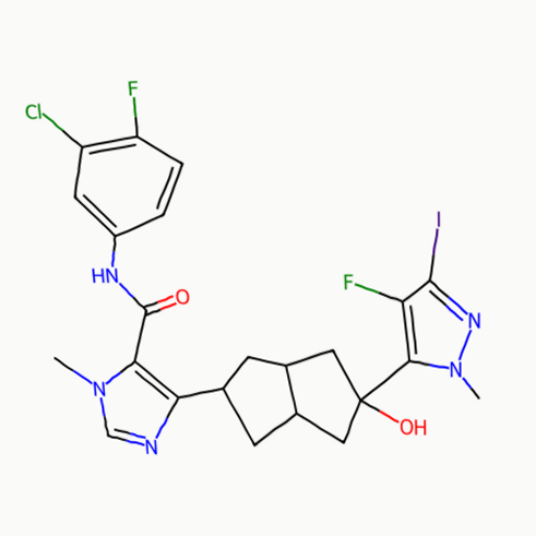 Cn1cnc(C2CC3CC(O)(c4c(F)c(I)nn4C)CC3C2)c1C(=O)Nc1ccc(F)c(Cl)c1